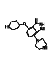 c1cc(N2CCNCC2)c2c(c1OC1CCNCC1)NNN2